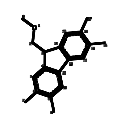 COCC1c2cc(C)c(C)cc2-c2cc(C)c(C)cc21